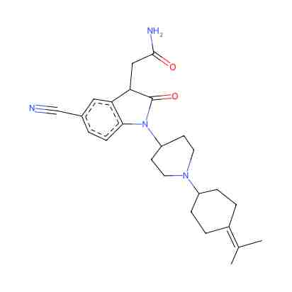 CC(C)=C1CCC(N2CCC(N3C(=O)C(CC(N)=O)c4cc(C#N)ccc43)CC2)CC1